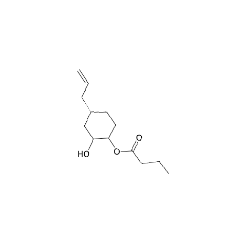 C=CCC1CCC(OC(=O)CCC)C(O)C1